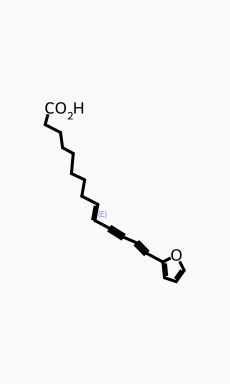 O=C(O)CCCCCCC/C=C/C#CC#Cc1ccco1